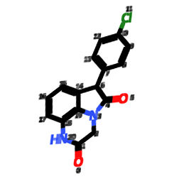 O=C1CN2C(=O)C(c3ccc(Cl)cc3)c3cccc(c32)N1